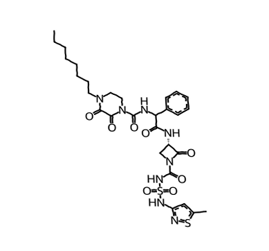 CCCCCCCCN1CCN(C(=O)NC(C(=O)N[C@H]2CN(C(=O)NS(=O)(=O)Nc3cc(C)sn3)C2=O)c2ccccc2)C(=O)C1=O